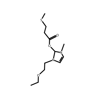 CCOCCN1C=CN(C)C1OC(=O)CCSC